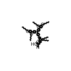 CCCCCCOc1ccc(-c2ccc(N(c3ccc(-c4cc5c(s4)-c4sc(C=C(C#N)C(=O)O)cc4C5(CCCCCC)CCCCCC)cc3)c3ccc(-c4ccc(OCCCCCC)cc4OCCCCCC)cc3)cc2)c(OCCCCCC)c1